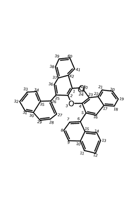 Clc1c(Oc2c(-c3cccc4ccccc34)cc3ccccc3c2Cl)c(-c2cccc3ccccc23)cc2ccccc12